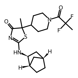 CC(F)(F)C(=O)N1CCC(C2(C)SC(N[C@H]3C[C@@H]4CC[C@H]3C4)=NC2=O)CC1